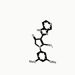 COc1cc(OC)cc(N2CC(=O)C(c3nc4cnccc4[nH]3)=C2N)c1